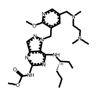 CCC[C@@H](CC)Nc1nc(NC(=O)OC)nc2cnn(Cc3cc(CN(C)CCN(C)C)cnc3OC)c12